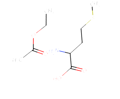 CCOC(C)=O.CSCCC(N)C(=O)O